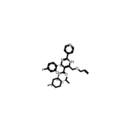 C=CCOCC1=C(C(=O)O[C@@H]2C[C@H](C)CC[C@H]2C(C)C)[C@H](c2ccc(F)cc2Cl)N=C(c2ccncc2)N1